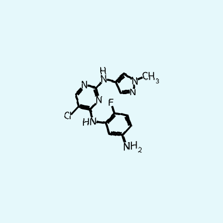 Cn1cc(Nc2ncc(Cl)c(Nc3cc(N)ccc3F)n2)cn1